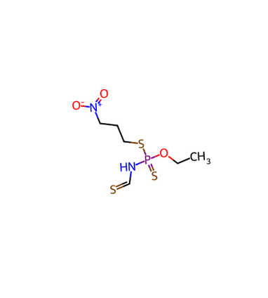 CCOP(=S)(NC=S)SCCC[N+](=O)[O-]